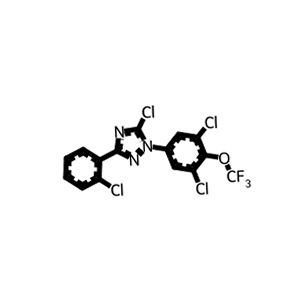 FC(F)(F)Oc1c(Cl)cc(-n2nc(-c3ccccc3Cl)nc2Cl)cc1Cl